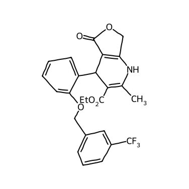 CCOC(=O)C1=C(C)NC2=C(C(=O)OC2)C1c1ccccc1OCc1cccc(C(F)(F)F)c1